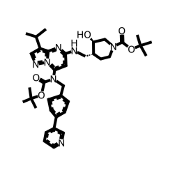 CC(C)c1cnn2c(N(Cc3ccc(-c4cccnc4)cc3)C(=O)OC(C)(C)C)cc(NC[C@H]3CCN(C(=O)OC(C)(C)C)C[C@@H]3O)nc12